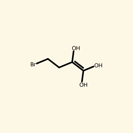 OC(O)=C(O)CCBr